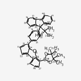 BC(B)(B)C1(c2ccc(-c3cccc4c3oc3c(B5OC(C)(C)C(C)(C)O5)cccc34)cc2)c2ccccc2-c2ccccc21